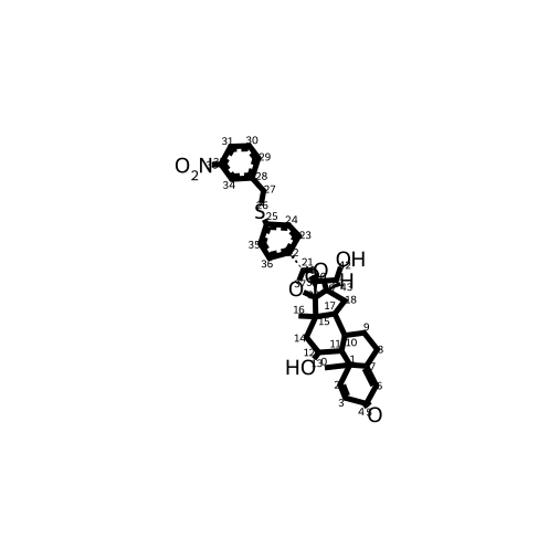 CC12C=CC(=O)C=C1CCC1C2C(O)CC2(C)C1C[C@H]1O[C@@H](c3ccc(SCc4cccc([N+](=O)[O-])c4)cc3)O[C@]12C(=O)CO